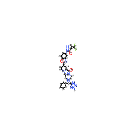 Cn1nnc(C(c2ccccc2)N2CCN(C(=O)c3cc(-c4nc5cc(NC(=O)[C@H]6CC6(F)F)ccc5o4)ccn3)CC2)n1